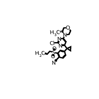 C=CCS(=O)(=O)c1cc(C2(c3cc(N4CCOC[C@@H]4C)nc(Cl)n3)CC2)ccc1C#N